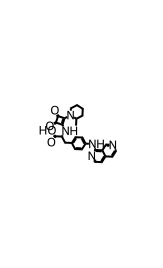 CC1CCCCN1c1c(NC(Cc2ccc(Nc3nccc4ccncc34)cc2)C(=O)O)c(=O)c1=O